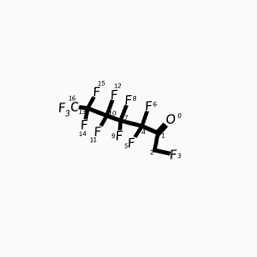 O=C(CF)C(F)(F)C(F)(F)C(F)(F)C(F)(F)C(F)(F)F